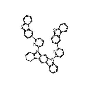 C1=Cc2c(c3cc4c5ccccc5n(-c5cccc(-c6ccc7sc8ccccc8c7c6)n5)c4cc3n2-c2cccc(-c3ccc4sc5ccccc5c4c3)n2)CC1